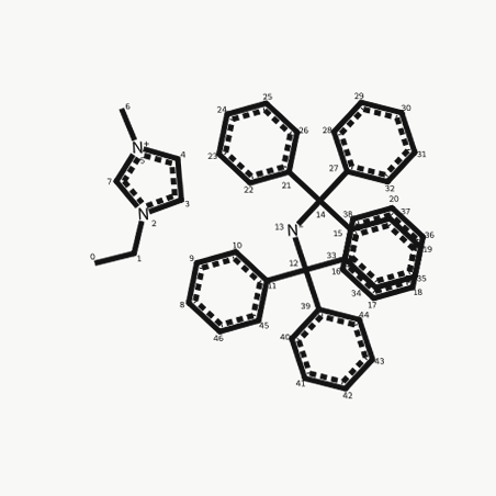 CCn1cc[n+](C)c1.c1ccc(C([N-]C(c2ccccc2)(c2ccccc2)c2ccccc2)(c2ccccc2)c2ccccc2)cc1